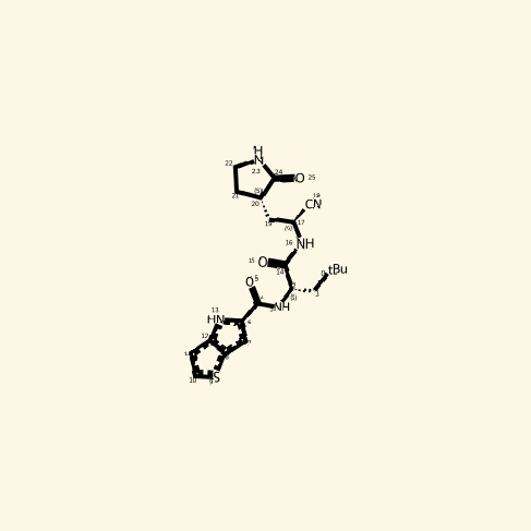 CC(C)(C)C[C@H](NC(=O)c1cc2sccc2[nH]1)C(=O)N[C@H](C#N)C[C@@H]1CCNC1=O